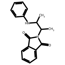 CC(Nc1ccccc1)C(C)N1C(=O)c2ccccc2C1=O